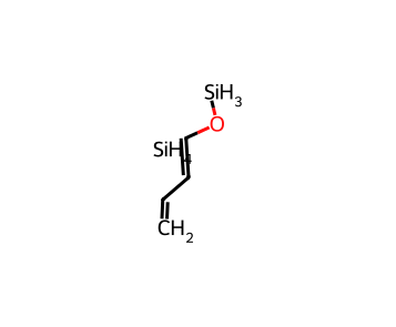 C=CC=CO[SiH3].[SiH4]